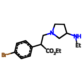 CCNC1CCN(CC(C(=O)OCC)c2ccc(Br)cc2)C1